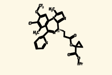 CCCOC(=O)C1(OC(=O)CC[C@@H]2N=C(c3ccccn3)c3c(cc(OC(F)(F)F)c(Cl)c3C)-n3c(C)cnc32)CC1